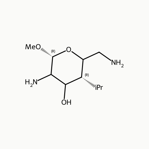 CO[C@@H]1OC(CN)[C@H](C(C)C)C(O)C1N